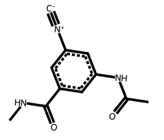 [C-]#[N+]c1cc(NC(C)=O)cc(C(=O)NC)c1